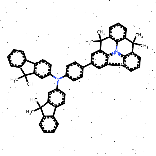 CC1(C)c2ccccc2-c2ccc(N(c3ccc(-c4cc5c6c(c4)c4cccc7c4n6-c4c(cccc4C5(C)C)C7(C)C)cc3)c3ccc4c(c3)C(C)(C)c3ccccc3-4)cc21